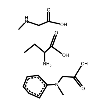 CCC(N)C(=O)O.CN(CC(=O)O)c1ccccc1.CNCC(=O)O